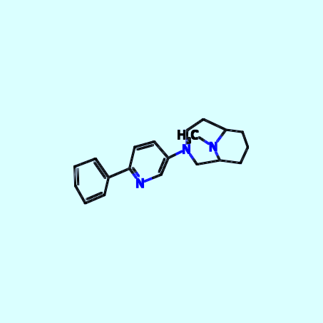 CN1C2CCCC1CN(c1ccc(-c3ccccc3)nc1)CC2